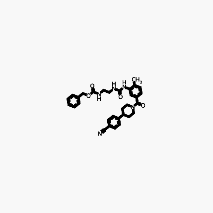 Cc1ccc(C(=O)N2CCC(c3ccc(C#N)cc3)CC2)cc1NC(=O)NCCNC(=O)OCc1ccccc1